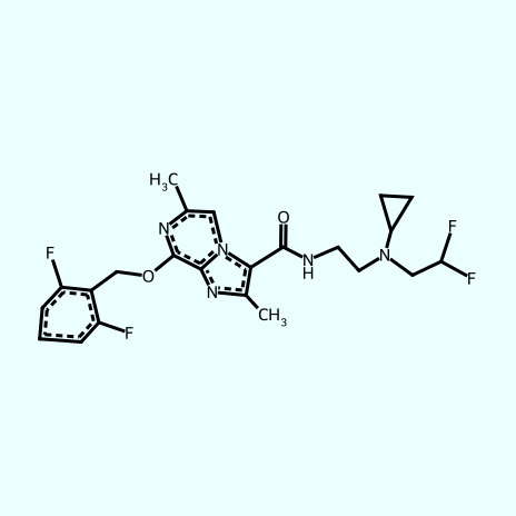 Cc1cn2c(C(=O)NCCN(CC(F)F)C3CC3)c(C)nc2c(OCc2c(F)cccc2F)n1